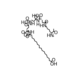 CNC(CCCCNC(=O)CC[C@H](NC(=O)CC[C@H](NC(=O)CC[C@H](NC(=O)CCCCCCCCCCCCCCCCC(=O)O)C(=O)O)C(=O)O)C(=O)O)C(C)=O